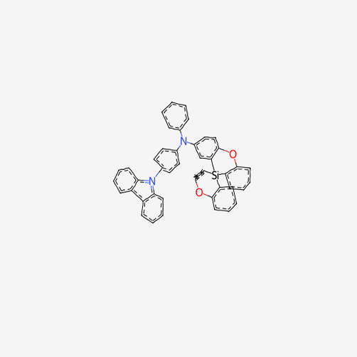 c1ccc(N(c2ccc(-n3c4ccccc4c4ccccc43)cc2)c2ccc3c(c2)[Si]2(c4ccccc4Oc4ccccc42)c2ccccc2O3)cc1